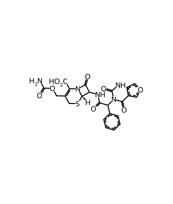 NC(=O)OCC1=C(C(=O)O)N2C(=O)C(NC(=O)C(c3ccccc3)N(C(N)=O)C(=O)c3ccoc3)[C@@H]2SC1